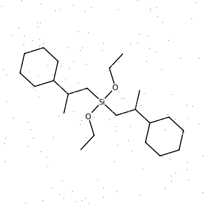 CCO[Si](CC(C)C1CCCCC1)(CC(C)C1CCCCC1)OCC